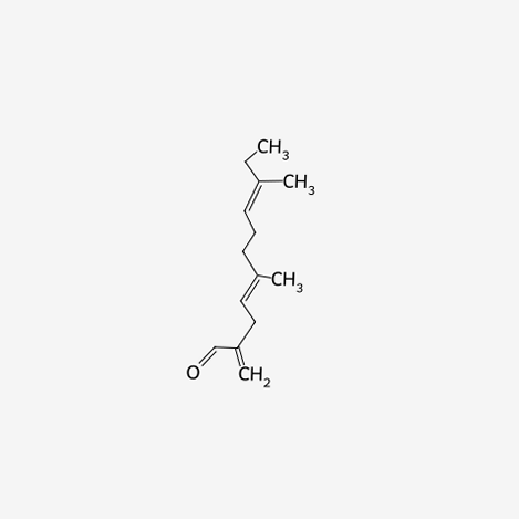 C=C(C=O)C/C=C(\C)CC/C=C(\C)CC